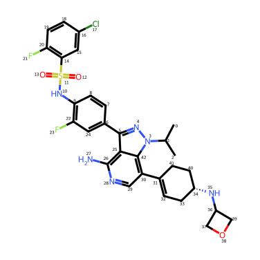 CC(C)n1nc(-c2ccc(NS(=O)(=O)c3cc(Cl)ccc3F)c(F)c2)c2c(N)ncc(C3=CC[C@@H](NC4COC4)CC3)c21